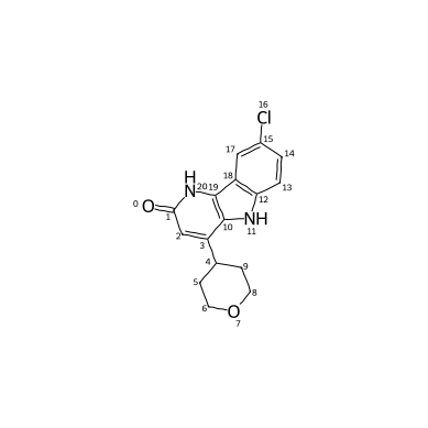 O=c1cc(C2CCOCC2)c2[nH]c3ccc(Cl)cc3c2[nH]1